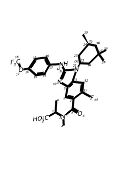 CC(C(=O)O)N(C)C(=O)c1cc2nc(Nc3ccc(OC(F)(F)F)cc3)n([C@H]3C[C@@H](C)CC(C)(C)C3)c2cc1F